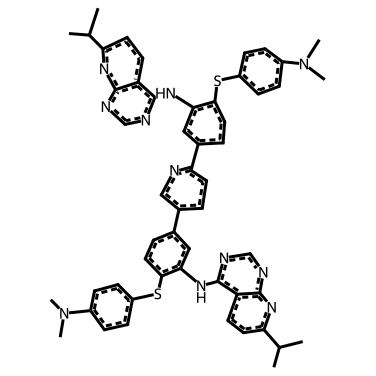 CC(C)c1ccc2c(Nc3cc(-c4ccc(-c5ccc(Sc6ccc(N(C)C)cc6)c(Nc6ncnc7nc(C(C)C)ccc67)c5)nc4)ccc3Sc3ccc(N(C)C)cc3)ncnc2n1